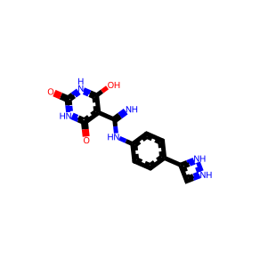 N=C(Nc1ccc(-c2c[nH][nH]2)cc1)c1c(O)[nH]c(=O)[nH]c1=O